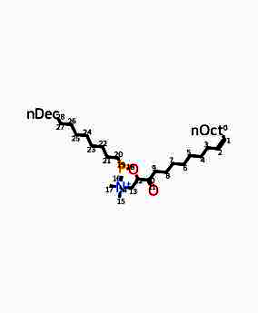 CCCCCCCC/C=C\CCCCCCCC(=O)C(C[N+](C)(C)C)O[P-]CCCCCCCCCCCCCCCCCC